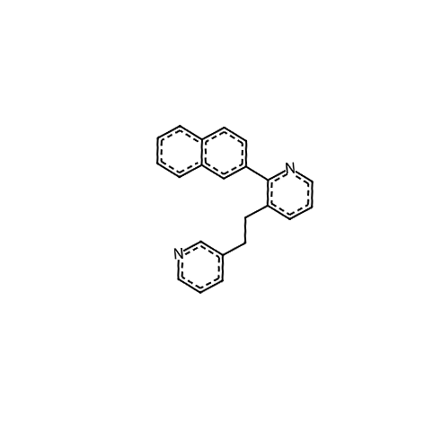 c1cncc(CCc2cccnc2-c2ccc3ccccc3c2)c1